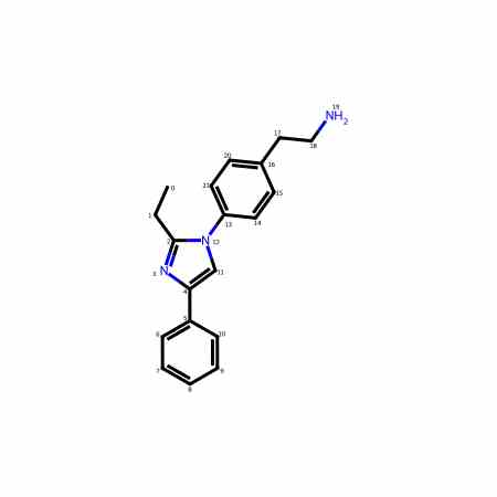 CCc1nc(-c2ccccc2)cn1-c1ccc(CCN)cc1